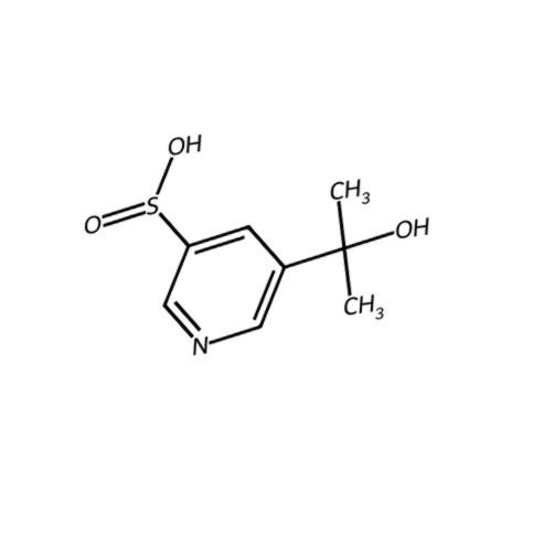 CC(C)(O)c1cncc(S(=O)O)c1